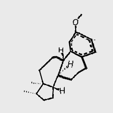 COc1[c]cc2c(c1)[C@H]1CC[C@]3(C)[C@@H](C)CC[C@H]3[C@@H]1CC2